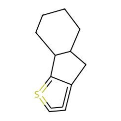 C1=C=C2CC3CCCCC3C2=S=1